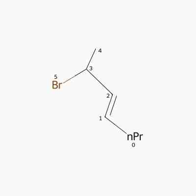 CCCC=CC(C)Br